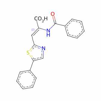 O=C(O)/C(=C/c1ncc(-c2ccccc2)s1)NC(=O)c1ccccc1